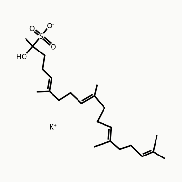 CC(C)=CCCC(C)=CCCC(C)=CCCC(C)=CCCC(C)(O)S(=O)(=O)[O-].[K+]